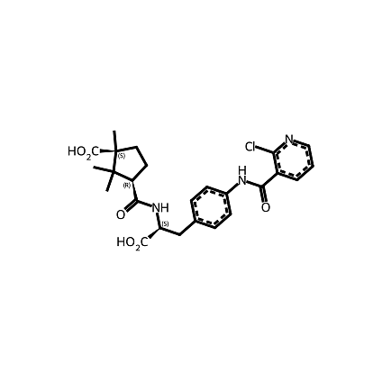 CC1(C)[C@H](C(=O)N[C@@H](Cc2ccc(NC(=O)c3cccnc3Cl)cc2)C(=O)O)CC[C@]1(C)C(=O)O